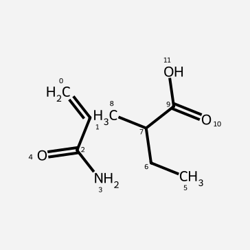 C=CC(N)=O.CCC(C)C(=O)O